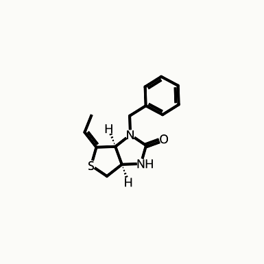 C/C=C1/SC[C@@H]2NC(=O)N(Cc3ccccc3)[C@H]12